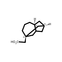 O=C(O)C[C@]12CCC[C@H]3C[C@@H](CC3C1)C2